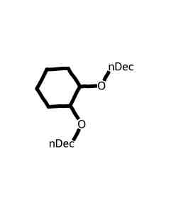 CCCCCCCCCCOC1CCCCC1OCCCCCCCCCC